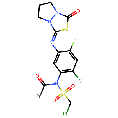 CC(C)C(=O)N(c1cc(/N=c2\sc(=O)n3n2CCC3)c(F)cc1Cl)S(=O)(=O)CCl